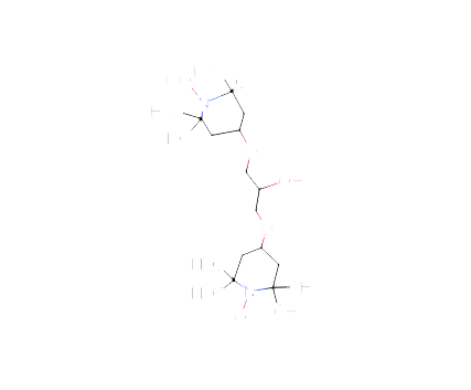 CC1(C)CC(OCC(O)COC2CC(C)(C)N(O)C(C)(C)C2)CC(C)(C)N1O